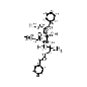 CC(C)(CCOCc1ccccc1)C[C@H](NC(=O)OC(C)(C)C)[C@@H](O)C[C@@H](Cc1ccccc1)C(=O)O